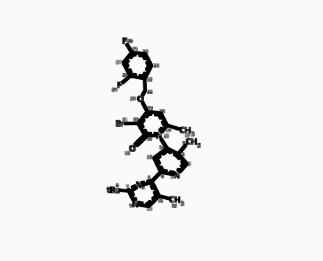 Cc1cnc(-c2nc(C(C)(C)C)ncc2C)cc1-n1c(C)cc(OCc2ccc(F)cc2F)c(Br)c1=O